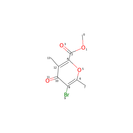 COC(=O)c1oc(C)c(Br)c(=O)c1C